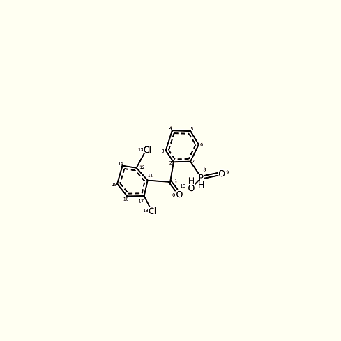 O=C(c1ccccc1[PH](=O)O)c1c(Cl)cccc1Cl